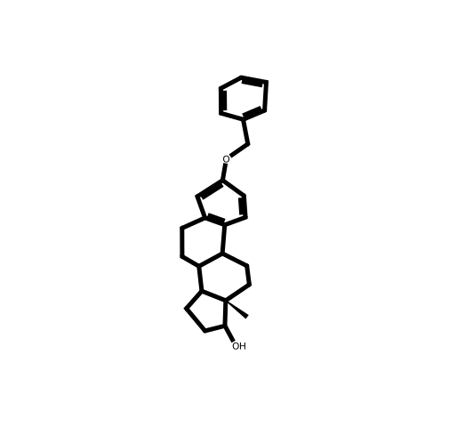 C[C@]12CCC3c4ccc(OCc5ccccc5)cc4CCC3C1CCC2O